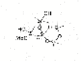 CO[Si](C)(O)O[Si]1(O[Si](C)(C)O)O[Si](C)(C)O[Si](C)(C)O1